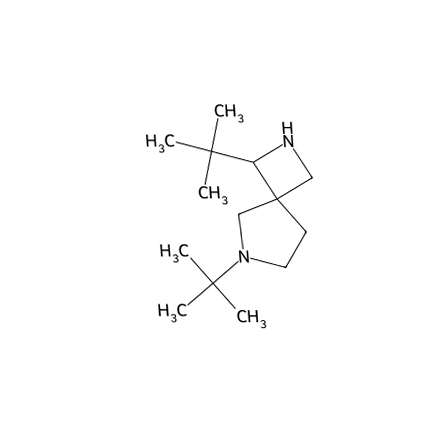 CC(C)(C)C1NCC12CCN(C(C)(C)C)C2